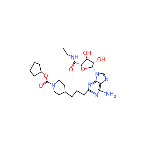 CCNC(=O)[C@H]1O[C@@H](n2cnc3c(N)nc(CCCC4CCN(C(=O)OC5CCCC5)CC4)nc32)[C@@H](O)C1O